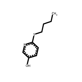 CCCCSc1ccc(O)cn1